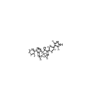 Cc1cccnc1-c1nnc(C(C(=O)Nc2ccc(-c3c(C)n[nH]c3C)cc2)C(C2CC2)C2CC2)[nH]1